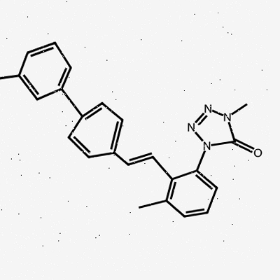 Cc1cccc(-c2ccc(/C=C/c3c(C)cccc3-n3nnn(C)c3=O)cc2)c1